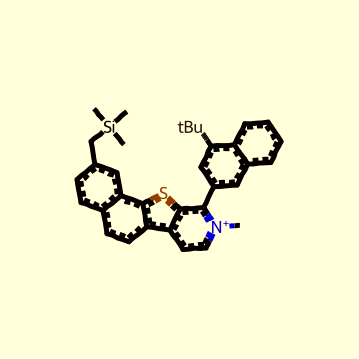 C[n+]1ccc2c(sc3c4cc(C[Si](C)(C)C)ccc4ccc23)c1-c1cc(C(C)(C)C)c2ccccc2c1